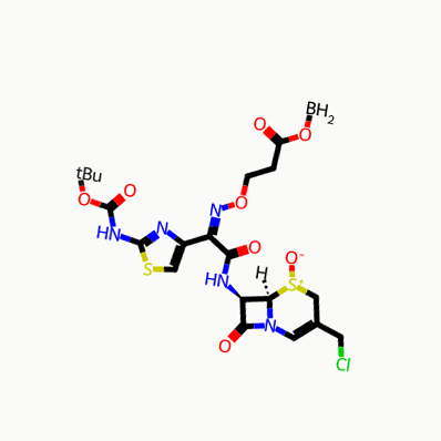 BOC(=O)CCO/N=C(\C(=O)N[C@@H]1C(=O)N2C=C(CCl)C[S+]([O-])[C@H]12)c1csc(NC(=O)OC(C)(C)C)n1